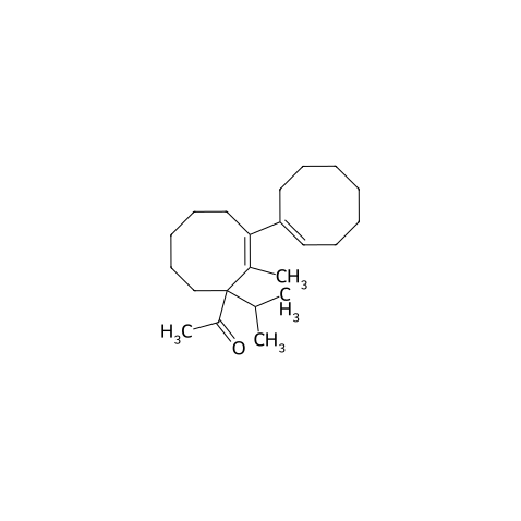 CC(=O)C1(C(C)C)CCCCCC(C2=CCCCCCC2)=C1C